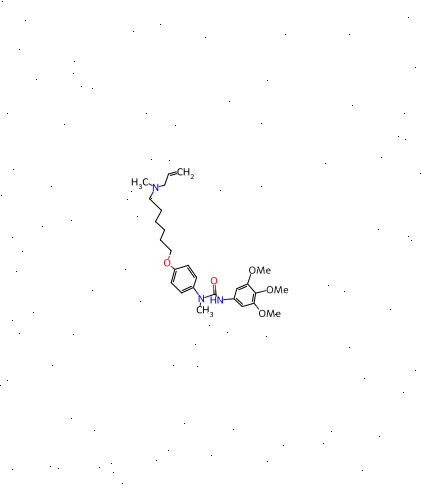 C=CCN(C)CCCCCCOc1ccc(N(C)C(=O)Nc2cc(OC)c(OC)c(OC)c2)cc1